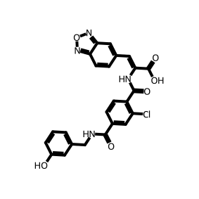 O=C(O)C(=Cc1ccc2nonc2c1)NC(=O)c1ccc(C(=O)NCc2cccc(O)c2)cc1Cl